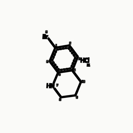 Brc1ccc2c(c1)NCCC2.Cl